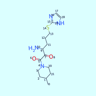 CC1CCN(C(=O)C(=O)C(N)CCCSc2ncc[nH]2)CC1